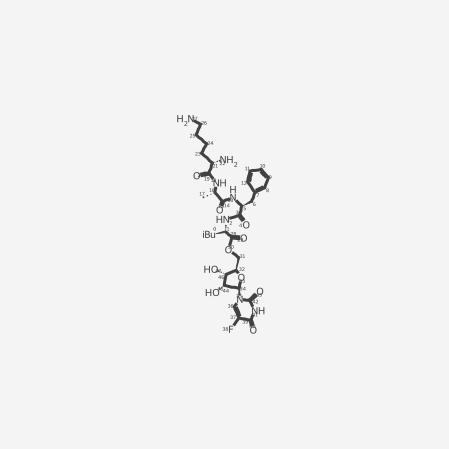 CC[C@H](C)[C@H](NC(=O)[C@H](Cc1ccccc1)NC(=O)[C@H](C)NC(=O)[C@@H](N)CCCCN)C(=O)OC[C@H]1O[C@@H](n2cc(F)c(=O)[nH]c2=O)[C@H](O)[C@@H]1O